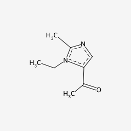 CCn1c(C(C)=O)cnc1C